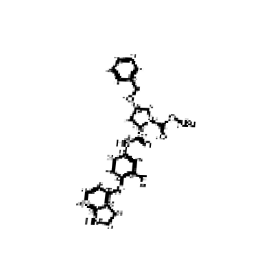 CC(C)(C)OC(=O)N1C[C@H](OCc2ccccc2)C[C@H]1C(=O)Nc1ccc(Oc2ccnc3c2CCN3)c(F)c1